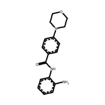 Nc1ccccc1NC(=O)c1ccc(N2CCOCC2)cc1